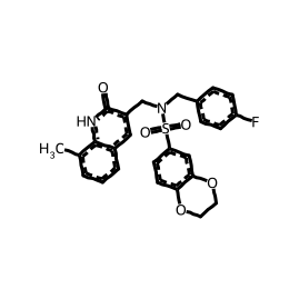 Cc1cccc2cc(CN(Cc3ccc(F)cc3)S(=O)(=O)c3ccc4c(c3)OCCO4)c(=O)[nH]c12